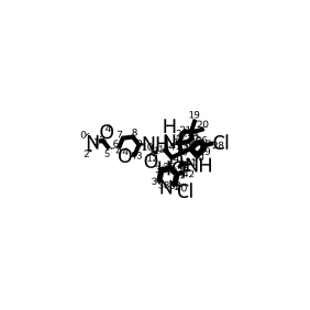 CN(C)C(=O)C[C@@H]1CC[C@@H](NC(=O)[C@@H]2NC3(CCC(C)(C)CC3)[C@]3(c4ccc(Cl)cc4NC3O)[C@H]2c2ccnc(Cl)c2F)CO1